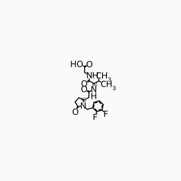 CC(C)[C@H](NC(=O)C[C@@H]1CCC(=O)N1Cc1cccc(F)c1F)C(=O)NCC(=O)O